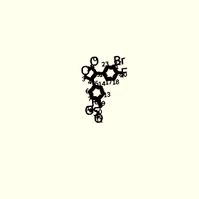 O=C1OCC(c2ccc(C[SH](=O)=O)cc2)=C1c1ccc(F)c(Br)c1